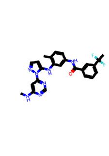 CNc1cc(-n2nccc2Nc2cc(NC(=O)c3cccc(C(C)(F)F)c3)ccc2C)ncn1